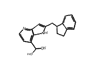 OC(O)c1ccnc2cc(CC3CCc4ccccc43)[nH]c12